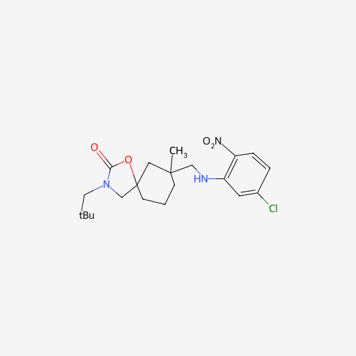 CC(C)(C)CN1CC2(CCCC(C)(CNc3cc(Cl)ccc3[N+](=O)[O-])C2)OC1=O